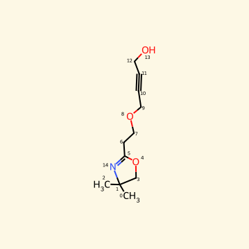 CC1(C)COC(CCOCC#CCO)=N1